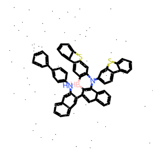 B1c2cc3c(cc2N(c2ccc4c(c2)sc2ccccc24)c2c1c(-c1cc4ccccc4cc1Nc1ccc(-c4ccccc4)cc1)cc1ccccc21)sc1ccccc13